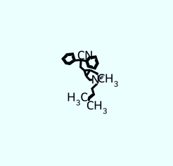 CC(C)=CCC[N+]1(C)CC2C(CC(C#N)(c3ccccc3)c3ccccc3)C2C1